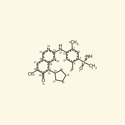 Cc1cc(S(C)(=N)=O)c(F)cc1Nc1ncc2cc(Cl)c(=O)n(C3CCCC3)c2n1